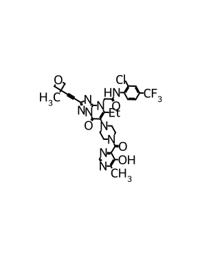 CCc1c(N2CCN(C(=O)c3ncnc(C)c3O)CC2)c(=O)n2nc(C#CC3(C)COC3)nc2n1CC(=O)Nc1ccc(C(F)(F)F)cc1Cl